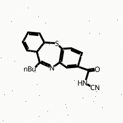 CCCCC1=Nc2cc(C(=O)NC#N)ccc2SC2C=CC=CC12